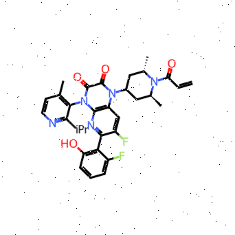 C=CC(=O)N1[C@@H](C)CC(n2c(=O)c(=O)n(-c3c(C)ccnc3C(C)C)c3nc(-c4c(O)cccc4F)c(F)cc32)C[C@@H]1C